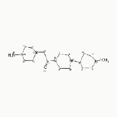 CN1CCC(N2CCN(C(=O)CN3CCN(N)CC3)CC2)CC1